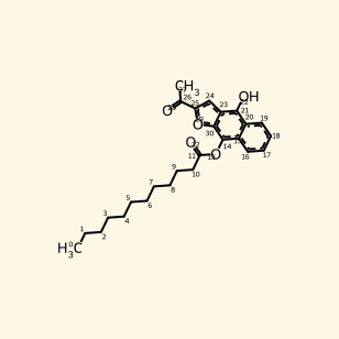 CCCCCCCCCCCC(=O)Oc1c2ccccc2c(O)c2cc(C(C)=O)oc12